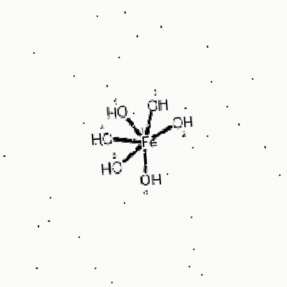 [OH][Fe]([OH])([OH])([OH])([OH])[OH]